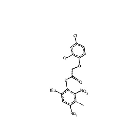 Cc1c([N+](=O)[O-])cc(C(C)(C)C)c(OC(=O)COc2ccc(Cl)cc2Cl)c1[N+](=O)[O-]